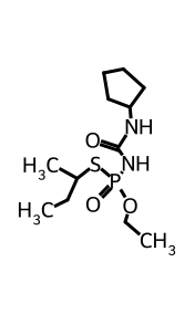 CCOP(=O)(NC(=O)NC1CCCC1)SC(C)CC